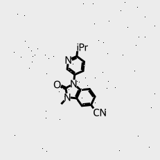 CC(C)c1ccc(-n2c(=O)n(C)c3cc(C#N)ccc32)cn1